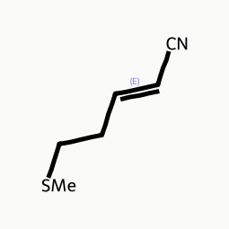 CSCC/C=C/C#N